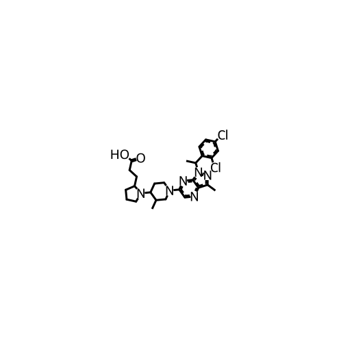 Cc1nn(C(C)c2ccc(Cl)cc2Cl)c2nc(N3CCC(N4CCCC4CCC(=O)O)C(C)C3)cnc12